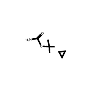 C1CC1.CC(C)(C)OC(N)=O